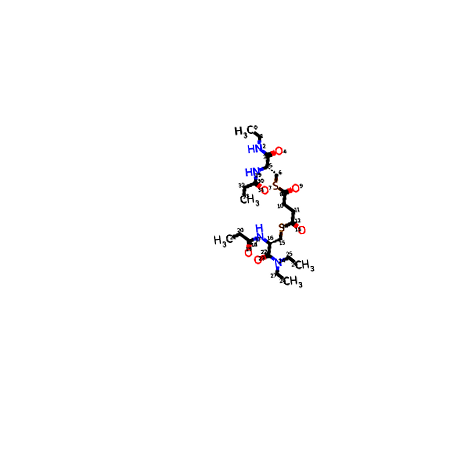 CCNC(=O)[C@H](CSC(=O)CCC(=O)SC[C@H](NC(=O)CC)C(=O)N(CC)CC)NC(=O)CC